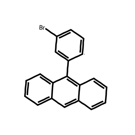 Brc1cc[c]c(-c2c3ccccc3cc3ccccc23)c1